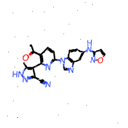 CC(=O)c1ccc(-n2cnc3cc(Nc4ccon4)ccc32)nc1-c1c(C#N)n[nH]c1C